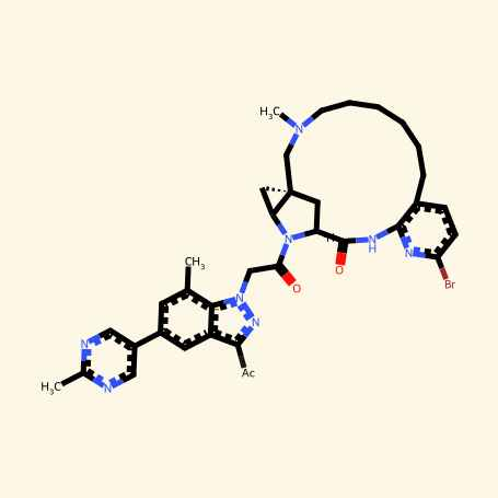 CC(=O)c1nn(CC(=O)N2C3C[C@]34C[C@H]2C(=O)Nc2nc(Br)ccc2CCCCCCN(C)C4)c2c(C)cc(-c3cnc(C)nc3)cc12